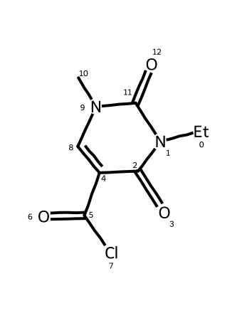 CCn1c(=O)c(C(=O)Cl)cn(C)c1=O